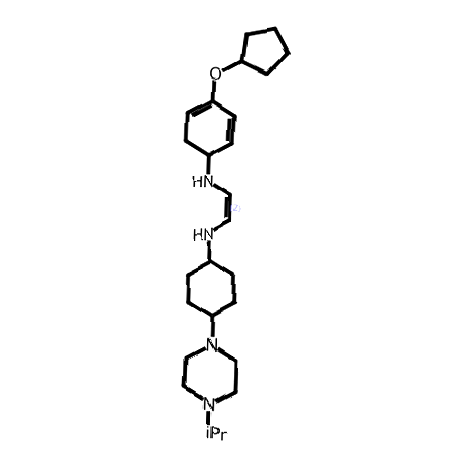 CC(C)N1CCN(C2CCC(N/C=C\NC3C=CC(OC4CCCC4)=CC3)CC2)CC1